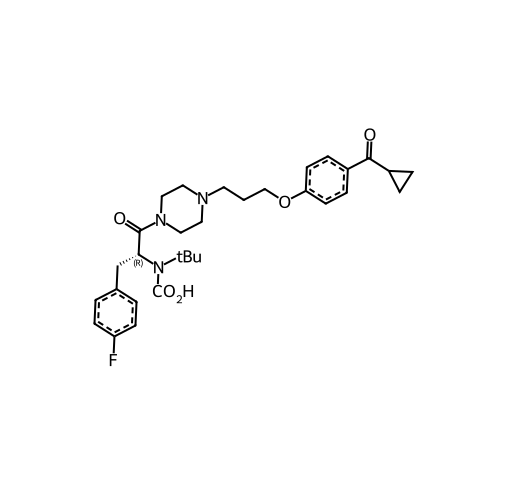 CC(C)(C)N(C(=O)O)[C@H](Cc1ccc(F)cc1)C(=O)N1CCN(CCCOc2ccc(C(=O)C3CC3)cc2)CC1